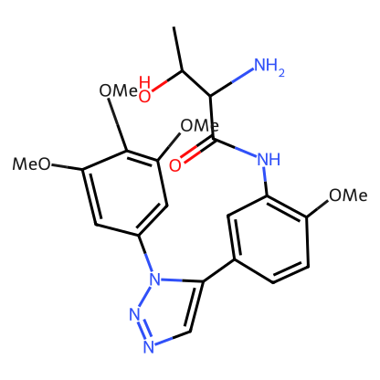 COc1ccc(-c2cnnn2-c2cc(OC)c(OC)c(OC)c2)cc1NC(=O)C(N)C(C)O